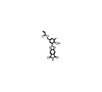 C=CC(=O)OCc1cc(C)c(O)c(-n2nc3cc4c(cc3n2)C(=O)N(C)C4=O)c1